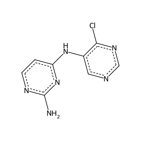 Nc1nccc(Nc2cncnc2Cl)n1